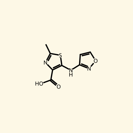 Cc1nc(C(=O)O)c(Nc2ccon2)s1